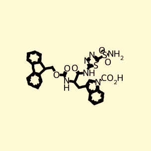 NS(=O)(=O)c1nnc(NC(=O)C(Cc2cn(C(=O)O)c3ccccc23)NC(=O)OCC2c3ccccc3-c3ccccc32)s1